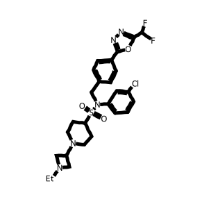 CCN1CC(N2CCC(S(=O)(=O)N(Cc3ccc(-c4nnc(C(F)F)o4)cc3)c3cccc(Cl)c3)CC2)C1